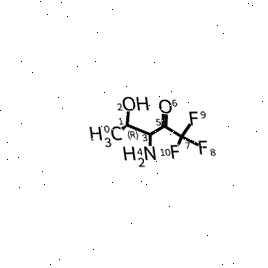 C[C@@H](O)C(N)C(=O)C(F)(F)F